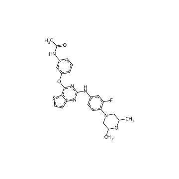 CC(=O)Nc1cccc(Oc2nc(Nc3ccc(N4CC(C)OC(C)C4)c(F)c3)nc3ccsc23)c1